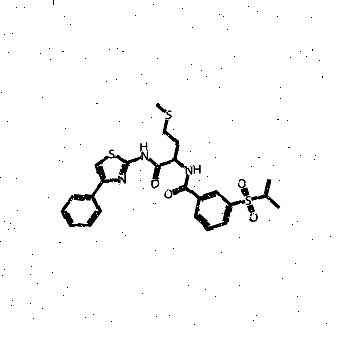 CSCCC(NC(=O)c1cccc(S(=O)(=O)C(C)C)c1)C(=O)Nc1nc(-c2ccccc2)cs1